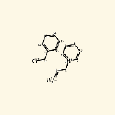 C=CC[n+]1ccccc1.ClCc1ccccc1